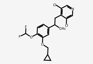 CC(=O)OC(Cc1c(Cl)cncc1Cl)c1ccc(OC(F)F)c(OCC2CC2)c1